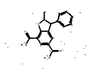 CC1Oc2c(C(N)=O)cc(C(N)=O)cc2C1c1ccccc1